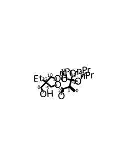 C=C(C(=O)OCC(CC)(CO)CO)C(OCCC)(OCCC)OCCC